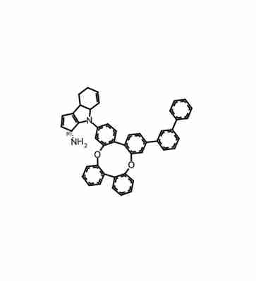 N[C@@H]1C=CC2=C1N(c1ccc3c(c1)Oc1ccccc1-c1ccccc1Oc1cc(-c4cccc(-c5ccccc5)c4)ccc1-3)C1C=CCCC21